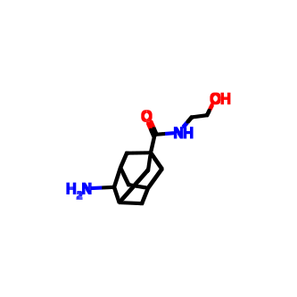 NC1C2CC3CC1CC(C(=O)NCCO)(C3)C2